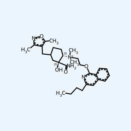 CCCCc1cc2ccccc2c(OCC[N+](C)(C)[C@H]2CCC(Cc3c(C)noc3C)C[C@@]2(O)C(N)=O)n1